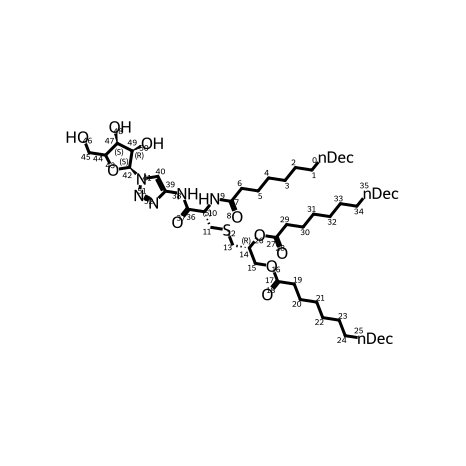 CCCCCCCCCCCCCCCCC(=O)N[C@H](CSC[C@@H](COC(=O)CCCCCCCCCCCCCCCC)OC(=O)CCCCCCCCCCCCCCCC)C(=O)Nc1cn([C@H]2OC(CO)[C@@H](O)[C@H]2O)nn1